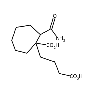 NC(=O)C1CCCCCC1(CCCC(=O)O)C(=O)O